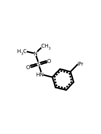 CC(C)c1cccc(NS(=O)(=O)N(C)C)c1